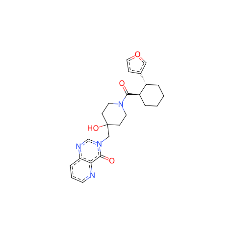 O=C([C@@H]1CCCC[C@H]1c1ccoc1)N1CCC(O)(Cn2cnc3cccnc3c2=O)CC1